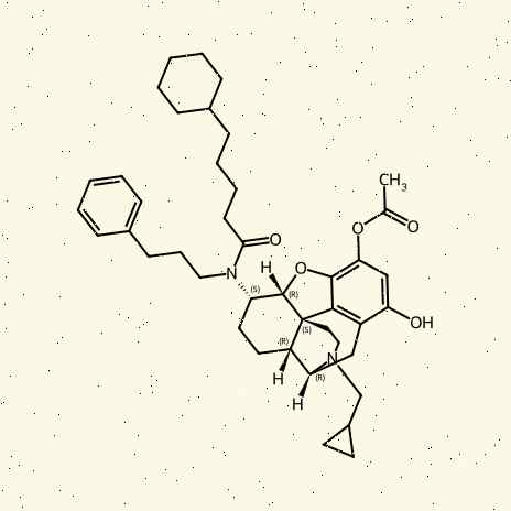 CC(=O)Oc1cc(O)c2c3c1O[C@H]1[C@@H](N(CCCc4ccccc4)C(=O)CCCCC4CCCCC4)CC[C@H]4[C@@H](C2)N(CC2CC2)CC[C@@]341